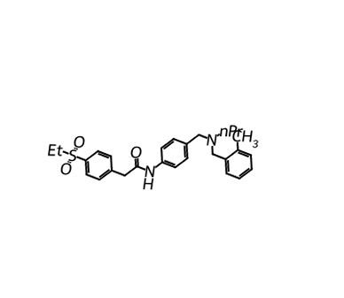 CCCN(Cc1ccc(NC(=O)Cc2ccc(S(=O)(=O)CC)cc2)cc1)Cc1ccccc1C